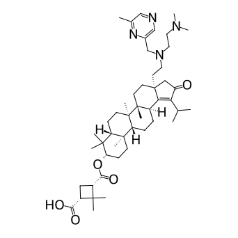 Cc1cncc(CN(CCN(C)C)CC[C@@]23CC[C@]4(C)[C@H](CC[C@@H]5[C@@]6(C)CC[C@H](OC(=O)[C@H]7C[C@@H](C(=O)O)C7(C)C)C(C)(C)[C@@H]6CC[C@]54C)C2=C(C(C)C)C(=O)C3)n1